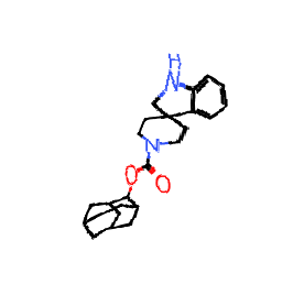 O=C(OC1C2CC3CC(C2)CC1C3)N1CCC2(CC1)CNc1ccccc12